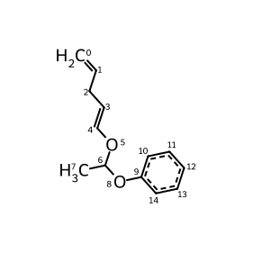 C=CCC=COC(C)Oc1ccccc1